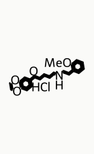 COc1ccccc1CCNCCCCC(=O)c1ccc2c(c1)OCCO2.Cl